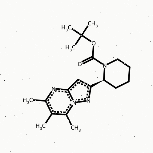 Cc1nc2cc([C@@H]3CCCCN3C(=O)OC(C)(C)C)nn2c(C)c1C